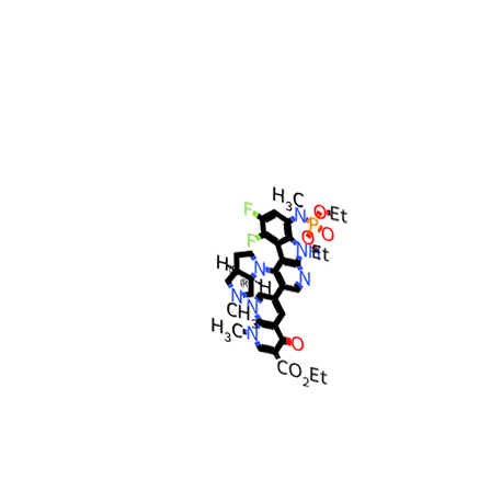 CCOC(=O)c1cn(C)c2ncc(-c3cnc4[nH]c5c(N(C)P(=O)(OCC)OCC)cc(F)c(F)c5c4c3N3CC[C@@H]4CN(C)C[C@@H]43)cc2c1=O